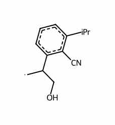 [CH2]C(CO)c1cccc(C(C)C)c1C#N